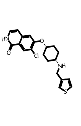 O=c1[nH]ccc2cc(O[C@H]3CC[C@@H](NCc4ccsc4)CC3)c(Cl)cc12